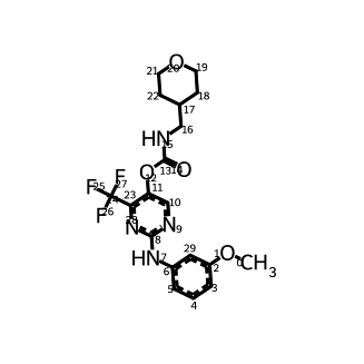 COc1cccc(Nc2ncc(OC(=O)NCC3CCOCC3)c(C(F)(F)F)n2)c1